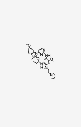 C=CC(=O)Nc1cc(Nc2nccc(-n3nc(C)c4ccc(OC)cc43)n2)c(OC)cc1N(C)CCN1CCCC1